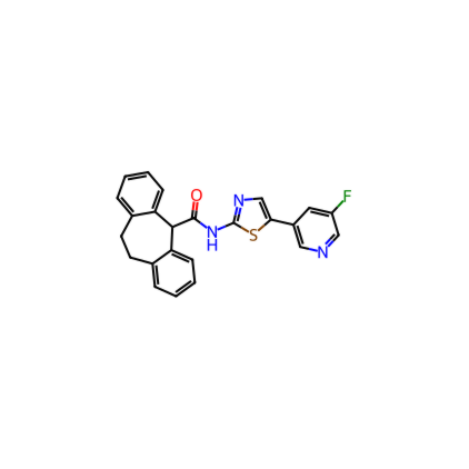 O=C(Nc1ncc(-c2cncc(F)c2)s1)C1c2ccccc2CCc2ccccc21